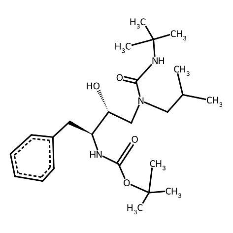 CC(C)CN(C[C@@H](O)[C@H](Cc1ccccc1)NC(=O)OC(C)(C)C)C(=O)NC(C)(C)C